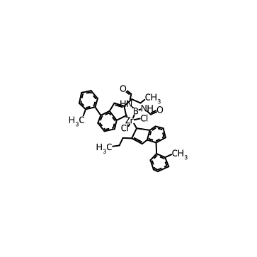 CCCC1=Cc2c(-c3ccccc3C)cccc2[CH]1[Zr]([Cl])([Cl])([B](NC=O)NC=O)[CH]1C(CCC)=Cc2c(-c3ccccc3C)cccc21